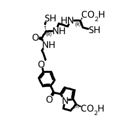 O=C(c1ccc(OCCNC(=O)[C@H](CS)NCCN[C@@H](CS)C(=O)O)cc1)c1ccc2n1CC[C@@H]2C(=O)O